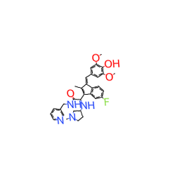 COc1cc(/C=C2/C(C)=C(C(NC3CCN(C)C3)C(=O)NCc3cccnc3)c3cc(F)ccc32)cc(OC)c1O